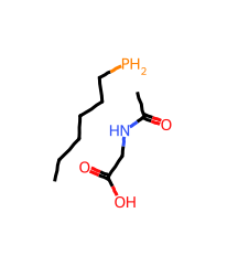 CC(=O)NCC(=O)O.CCCCCCP